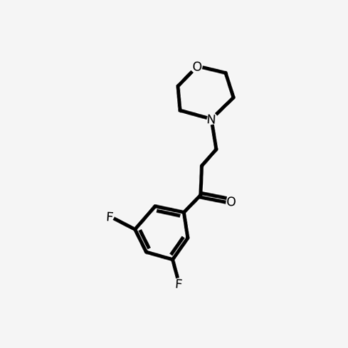 O=C(CCN1CCOCC1)c1cc(F)cc(F)c1